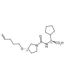 C=CCCCO[C@H]1CCN(C(=O)N[C@H](C(=O)O)C2CCCC2)C1